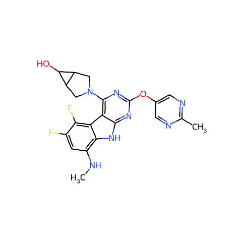 CNc1cc(F)c(F)c2c1[nH]c1nc(Oc3cnc(C)nc3)nc(N3CC4C(O)C4C3)c12